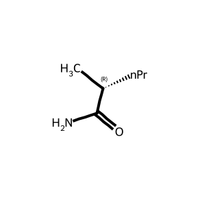 CCC[C@@H](C)C(N)=O